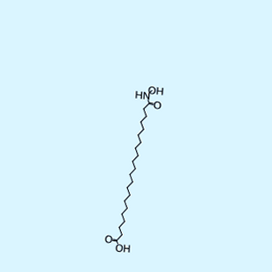 O=C(O)CCCCCCCCCCCCCCCCCCCCC(=O)NO